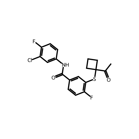 CC(=O)C1(Sc2cc(C(=O)Nc3ccc(F)c(Cl)c3)ccc2F)CCC1